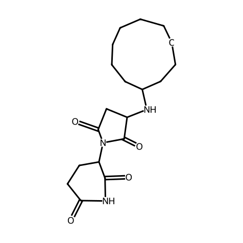 O=C1CCC(N2C(=O)CC(NC3CCCCCCCCC3)C2=O)C(=O)N1